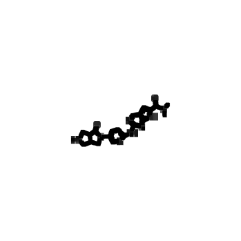 CN(C)C(=O)c1cc2cnc(Nc3ccc(N4CC5CNCC5C4=O)cn3)nc2[nH]1